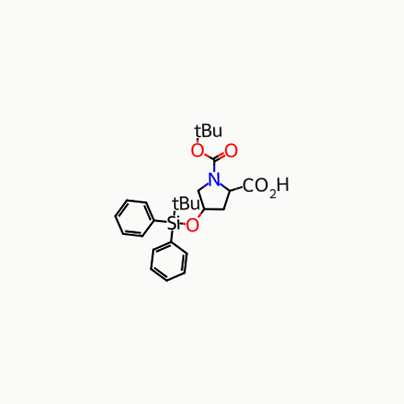 CC(C)(C)OC(=O)N1CC(O[Si](c2ccccc2)(c2ccccc2)C(C)(C)C)CC1C(=O)O